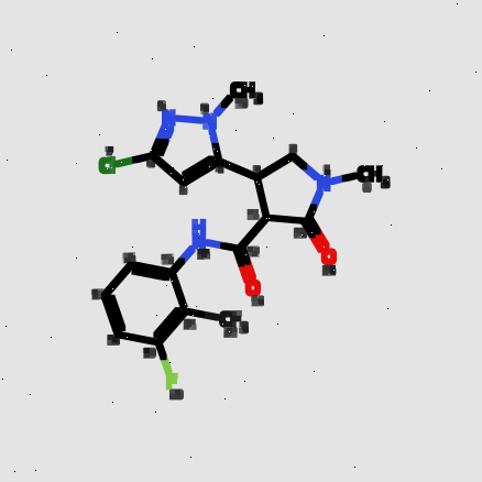 CN1CC(c2cc(Cl)nn2C)C(C(=O)Nc2cccc(F)c2C(F)(F)F)C1=O